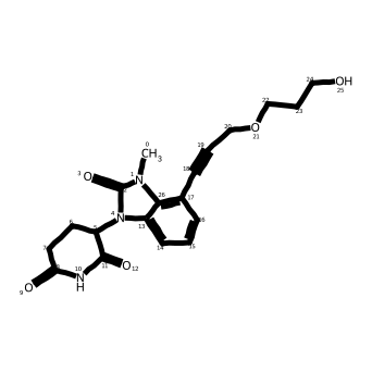 Cn1c(=O)n(C2CCC(=O)NC2=O)c2cccc(C#CCOCCCO)c21